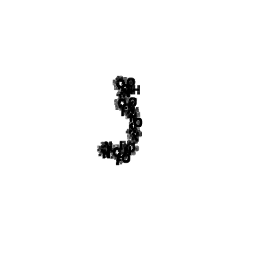 O=C(CN1CCN(CC2CCN(C(=O)c3c(F)cc(-c4ncccn4)cc3F)CC2)CC1)N1CCN(C(=O)c2cc(Cc3n[nH]c(=O)c4ccccc34)ccc2F)CC1